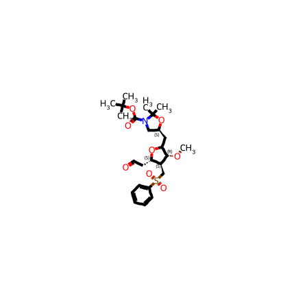 CO[C@H]1C(C[C@H]2CN(C(=O)OC(C)(C)C)C(C)(C)O2)O[C@@H](CC=O)[C@@H]1CS(=O)(=O)c1ccccc1